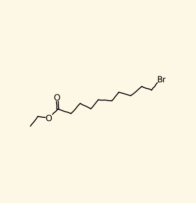 CCOC(=O)CCCCCCCCCBr